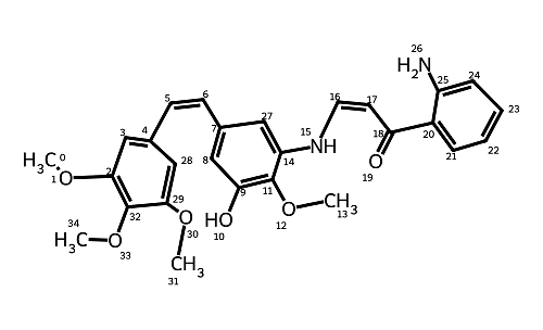 COc1cc(/C=C\c2cc(O)c(OC)c(N/C=C\C(=O)c3ccccc3N)c2)cc(OC)c1OC